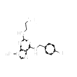 CCCn1cnc2c(NCc3ccc(Cl)cc3)nc(NCCN)nc21